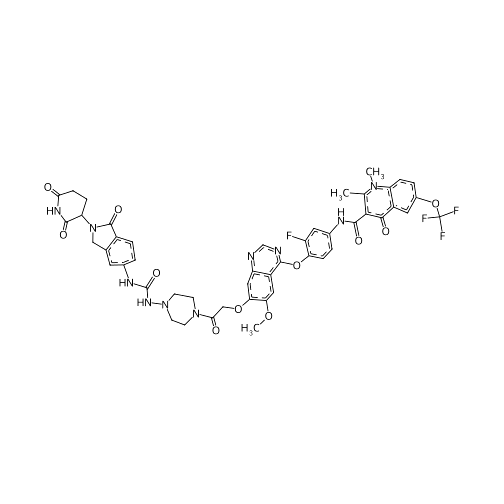 COc1cc2c(Oc3ccc(NC(=O)c4c(C)n(C)c5ccc(OC(F)(F)F)cc5c4=O)cc3F)ncnc2cc1OCC(=O)N1CCN(NC(=O)Nc2ccc3c(c2)CN(C2CCC(=O)NC2=O)C3=O)CC1